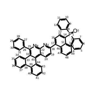 O=P(c1ccccc1)(c1ccccc1)c1ccc(-c2ccc3c(n2)nc(-c2ccccc2)c2c4ccccc4c4ccccc4c32)c2ccccc12